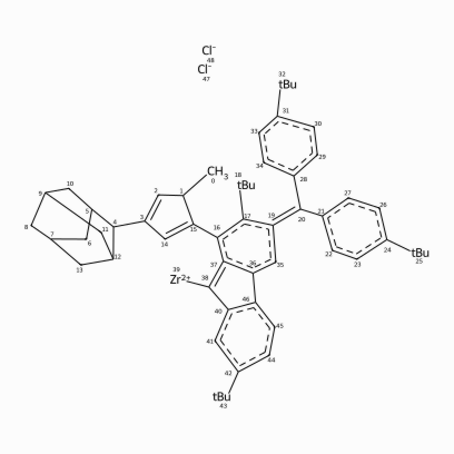 CC1C=C(C2C3CC4CC(C3)CC2C4)C=C1c1c(C(C)(C)C)c(=C(c2ccc(C(C)(C)C)cc2)c2ccc(C(C)(C)C)cc2)cc2c1=[C]([Zr+2])c1cc(C(C)(C)C)ccc1-2.[Cl-].[Cl-]